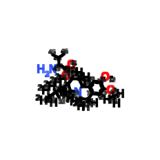 [2H]C([2H])([2H])Oc1cc2c(cc1OC)C1([2H])N(C([2H])([2H])C2([2H])[2H])C([2H])([2H])C([2H])(C([2H])([2H])C([2H])(C)C([2H])([2H])[2H])C([2H])(OC(=O)[C@@H](N)C(C)C)C1([2H])[2H]